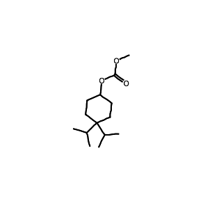 COC(=O)OC1CCC(C(C)C)(C(C)C)CC1